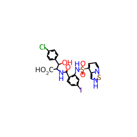 O=C(NC(C(=O)O)C(O)c1ccc(Cl)cc1)c1ccc(I)cc1NS(=O)(=O)C1=CC=CN2SNC=C12